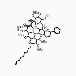 C=CCCCCCCO[C@@H]1OC(COCCCC)[C@@H](O[C@@H]2OC3COC(c4ccccc4)O[C@@H]3C(O[C@H]3OC(COCCCC)[C@H](OCCCC)C(OCCCC)C3OCCCC)C2O[C@@H]2OC(C)[C@@H](OCCCC)C(OCCCC)C2OCCCC)C(OCCCC)C1OCCCC